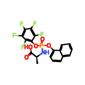 C[C@H](N[P@](=O)(Oc1c(F)c(F)c(F)c(F)c1F)Oc1cccc2ccccc12)C(=O)O